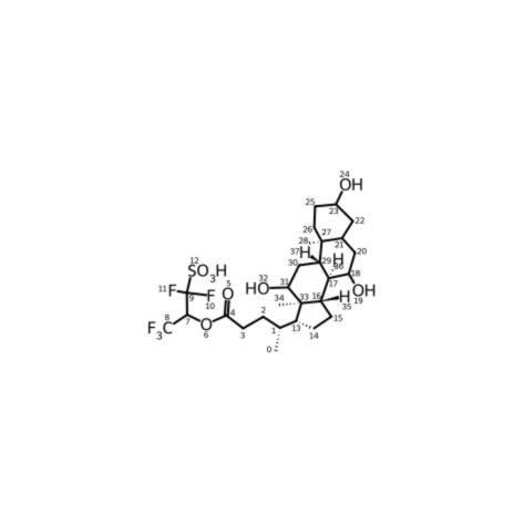 C[C@H](CCC(=O)OC(C(F)(F)F)C(F)(F)S(=O)(=O)O)[C@H]1CC[C@H]2[C@@H]3C(O)CC4CC(O)CC[C@]4(C)[C@H]3CC(O)[C@]12C